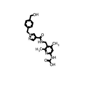 Cc1cc(NC(=O)O)nc(C)c1CNC(=O)c1cnn(Cc2ccc(CO)cc2)c1